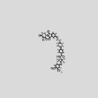 CC1(C)[C@H](NC(=O)c2ccc(N3CCN(CCOc4ccc5c(c4)C(=O)N(C4CCC(=O)NC4=O)C5=O)CC3)cc2)C(C)(C)[C@H]1Oc1ccc(C#N)c(C(F)(F)F)c1